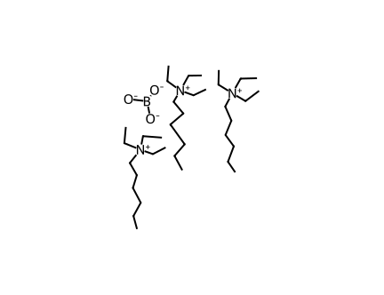 CCCCCC[N+](CC)(CC)CC.CCCCCC[N+](CC)(CC)CC.CCCCCC[N+](CC)(CC)CC.[O-]B([O-])[O-]